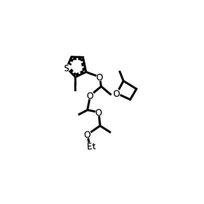 CC1CCO1.CCOC(C)OC(C)OC(C)Oc1ccsc1C